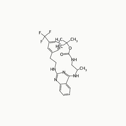 CC(CNC(=O)OC(C)(C)C)Nc1nc(NCCc2cccc(C(F)(F)F)c2)nc2ccccc12